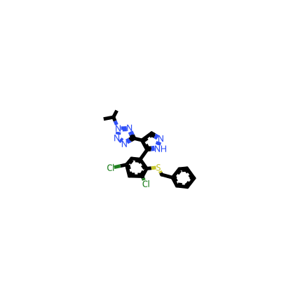 CC(C)n1nnc(-c2cn[nH]c2-c2cc(Cl)cc(Cl)c2SCc2ccccc2)n1